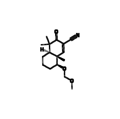 COCO[C@H]1CCC[C@H]2C(C)(C)C(=O)C(C#N)=C[C@]12C